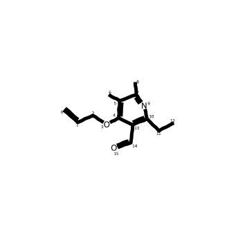 C=CCOc1c(C)c(C)nc(CC)c1C=O